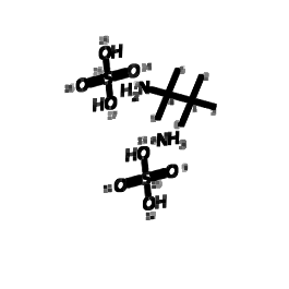 CC(C)(C)C(C)(C)N.N.O=S(=O)(O)O.O=S(=O)(O)O